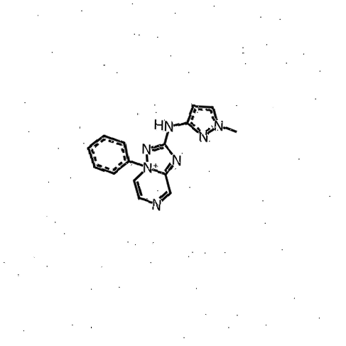 Cn1ccc(NC2=N[N+]3(c4ccccc4)C=CN=CC3=N2)n1